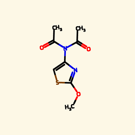 COc1nc(N(C(C)=O)C(C)=O)cs1